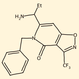 CCC(N)c1cc2onc(C(F)(F)F)c2c(=O)n1Cc1ccccc1